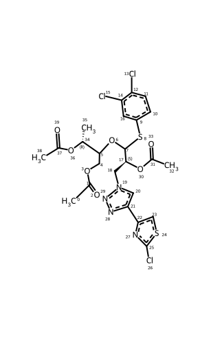 CC(=O)OCC(OC(Sc1ccc(Cl)c(Cl)c1)[C@H](Cn1cc(-c2csc(Cl)n2)nn1)OC(C)=O)[C@@H](C)OC(C)=O